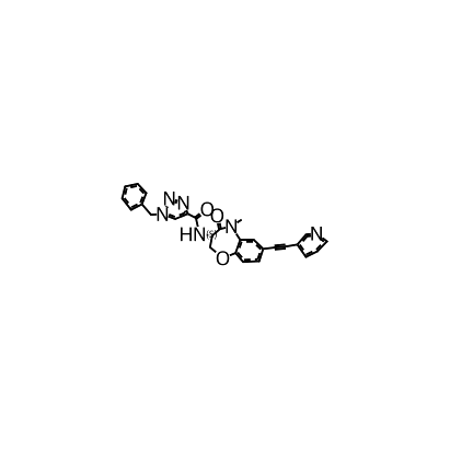 CN1C(=O)[C@@H](NC(=O)c2cn(Cc3ccccc3)nn2)COc2ccc(C#Cc3cccnc3)cc21